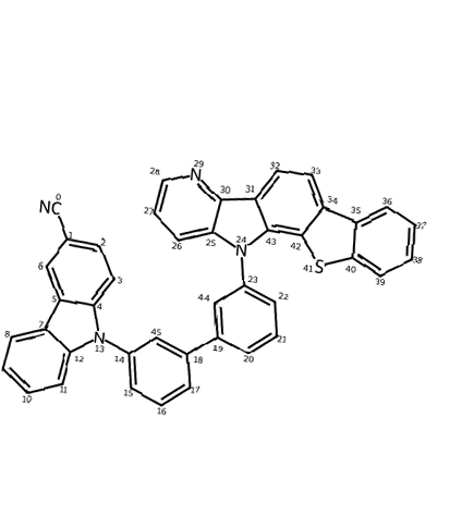 N#Cc1ccc2c(c1)c1ccccc1n2-c1cccc(-c2cccc(-n3c4cccnc4c4ccc5c6ccccc6sc5c43)c2)c1